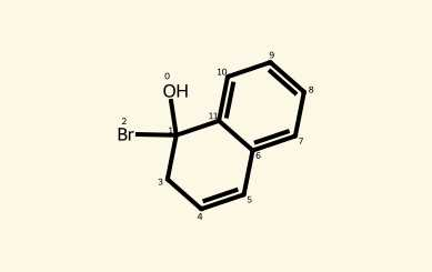 OC1(Br)CC=Cc2ccccc21